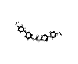 COc1ccc(-c2ccc(OC(=O)Oc3ccc(-c4ccc(OC)cc4)cc3)cc2)cc1